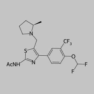 CC(=O)Nc1nc(-c2ccc(OC(F)F)c(C(F)(F)F)c2)c(CN2CCC[C@H]2C)s1